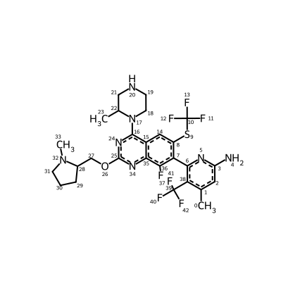 Cc1cc(N)nc(-c2c(SC(F)(F)F)cc3c(N4CCNCC4C)nc(OCC4CCCN4C)nc3c2F)c1C(F)(F)F